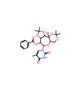 Cc1cn([C@@H]2OC3COC(C)(C)O[C@H]3C3OC(C)(C)OC3C2OC(=O)c2ccccc2)c(=O)[nH]c1=O